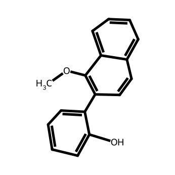 COc1c(-c2ccccc2O)ccc2ccccc12